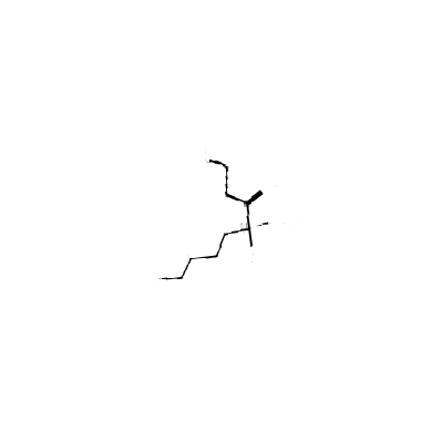 NCCCC[C@](N)(C(=O)O)C(=O)CCN